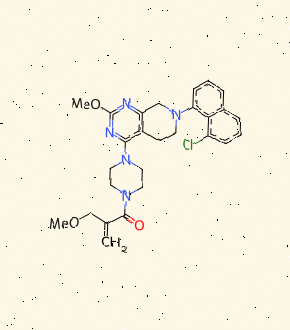 C=C(COC)C(=O)N1CCN(c2nc(OC)nc3c2CCN(c2cccc4cccc(Cl)c24)C3)CC1